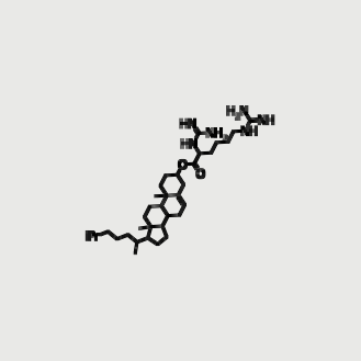 CC(C)CCCC(C)C1CCC2C3CC=C4CC(OC(=O)C(CCCCNC(=N)N)NC(=N)N)CCC4(C)C3CCC12C